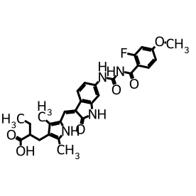 CCC(Cc1c(C)[nH]c(C=C2C(=O)Nc3cc(NC(=O)NC(=O)c4ccc(OC)cc4F)ccc32)c1C)C(=O)O